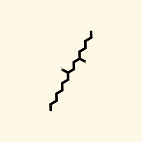 CCCCCCCC(I)CCC(I)CCCCC